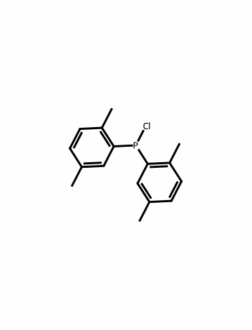 Cc1ccc(C)c(P(Cl)c2cc(C)ccc2C)c1